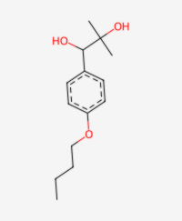 CCCCOc1ccc(C(O)C(C)(C)O)cc1